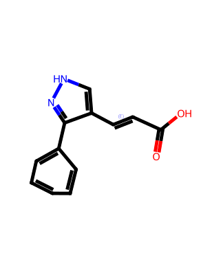 O=C(O)/C=C/c1c[nH]nc1-c1ccccc1